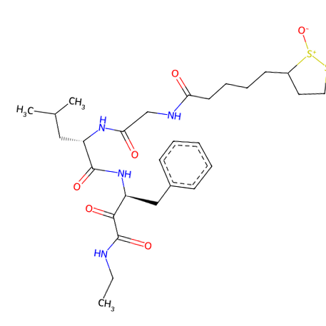 CCNC(=O)C(=O)[C@H](Cc1ccccc1)NC(=O)[C@H](CC(C)C)NC(=O)CNC(=O)CCCCC1CCS[S+]1[O-]